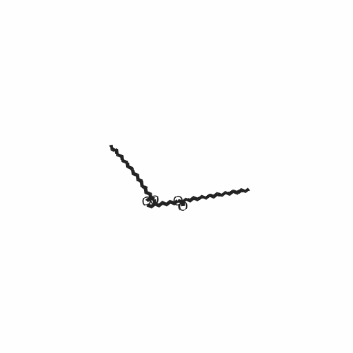 CCCCCCCCCCCCCCCCCC(=O)OCCCCCC(CC)OC(=O)CCCCCCCCCCCCCCCCC